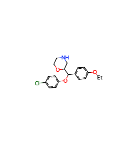 CCOc1ccc(C(Oc2ccc(Cl)cc2)C2CNCCO2)cc1